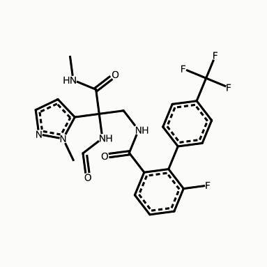 CNC(=O)C(CNC(=O)c1cccc(F)c1-c1ccc(C(F)(F)F)cc1)(NC=O)c1ccnn1C